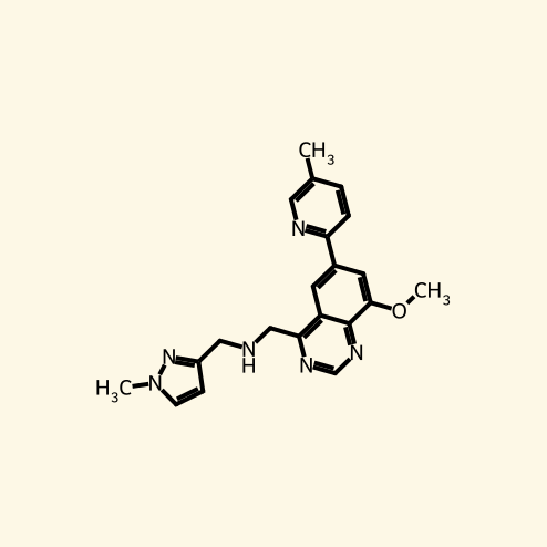 COc1cc(-c2ccc(C)cn2)cc2c(CNCc3ccn(C)n3)ncnc12